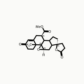 COC(=O)[C@@H]1CC2=CC(=O)CCC2(C)[C@@]23O[C@@H]2CC2C(CC[C@@]24CCC(=O)O4)C13